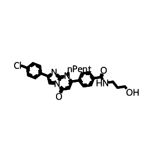 CCCCCn1c(-c2ccc(C(=O)NCCCO)cc2)cc(=O)n2cc(-c3ccc(Cl)cc3)nc12